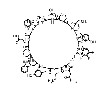 CCCC[C@H]1C(=O)N2CCOC[C@@H]2C(=O)N[C@@H](CC(=O)O)C(=O)N[C@@H](C(C)C)C(=O)N(C)[C@@H](Cc2ccccc2)C(=O)N[C@@H](CCC(=O)O)C(=O)N2CCOC[C@@H]2C(=O)NC(Cc2c[nH]c3ccccc23)C(=O)N[C@@H](Cc2ccc(O)cc2)C(=O)N[C@@H](CCCN)C(=O)N[C@H](C(=O)NCC(N)=O)CSCC(=O)N[C@@H](Cc2cc(F)c(F)c(F)c2)C(=O)N(C)[C@@H](Cc2ccc(O)cc2)C(=O)N1C